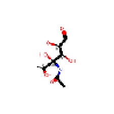 CC(=O)N[C@@](O)([C@H](O)[C@@H](O)C=O)[C@@H](C)O